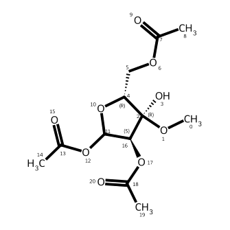 CO[C@]1(O)[C@@H](COC(C)=O)OC(OC(C)=O)[C@@H]1OC(C)=O